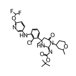 CC1CC(N2C(=O)C[C@@](C)(c3cccc(Nc4ccc(OC(F)F)nc4)c3Cl)N/C2=N\C(=O)OC(C)(C)C)CCO1